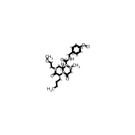 CCCC[C@H]1C(=O)N(CCOC)C[C@H]2N1C(=O)CN(C)N2C(=O)NCc1ccc(OCl)cc1